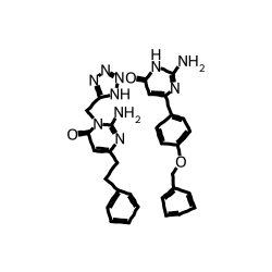 Nc1nc(-c2ccc(OCc3ccccc3)cc2)cc(=O)[nH]1.Nc1nc(CCc2ccccc2)cc(=O)n1Cc1nnn[nH]1